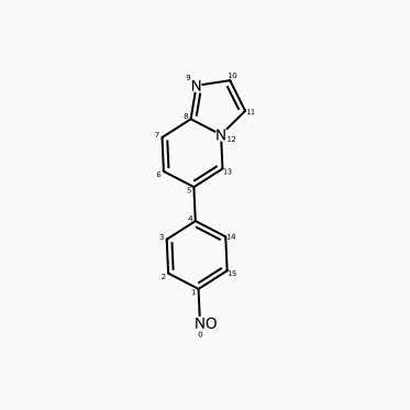 O=Nc1ccc(-c2ccc3nccn3c2)cc1